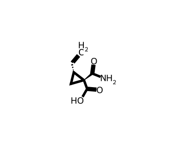 C=C[C@H]1C[C@@]1(C(N)=O)C(=O)O